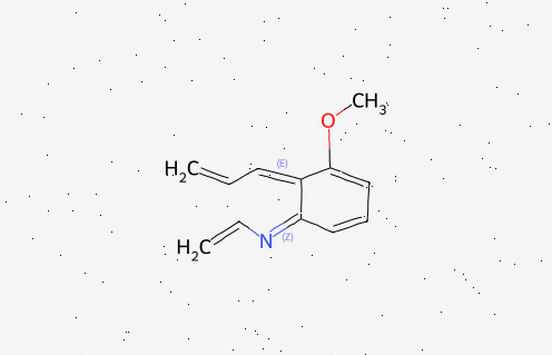 C=C/C=C1/C(OC)=CC=C/C1=N/C=C